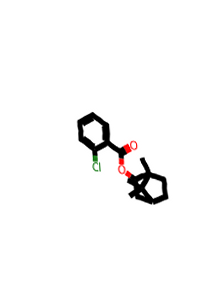 CC1(C)C2CCC1(C)C(OC(=O)c1ccccc1Cl)C2